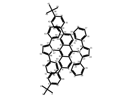 CC(C)(C)c1ccc(-c2ccc3c(-n4c(-c5ccccc5)ccc4-c4ccccc4)c4ccc(-c5ccc(C(C)(C)C)cc5)cc4c(-n4c(C5=CCCC=C5)ccc4-c4ccccc4)c3c2)cc1